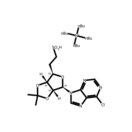 CC1(C)O[C@@H]2[C@H](O1)[C@@H](CCS(=O)(=O)O)O[C@H]2n1cnc2c(Cl)ncnc21.CCCC[N+](CCCC)(CCCC)CCCC